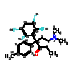 CCC(=O)C(CCN(C)C)(c1ccc(C)cc1)c1c(F)c(F)cc(F)c1F